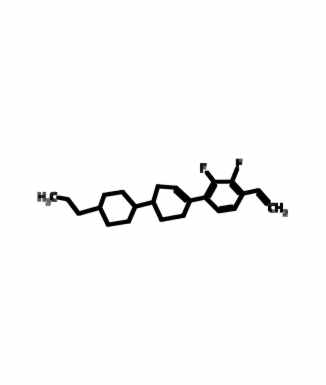 C=Cc1ccc(C2=CCC(C3CCC(CCC)CC3)CC2)c(F)c1F